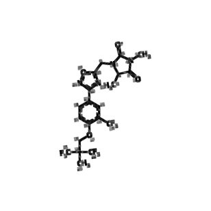 CC1C(=O)N(C)C(=O)N1Cc1nc(-c2ccc(OCC(C)(C(F)(F)F)C(F)(F)F)c(C(F)(F)F)c2)no1